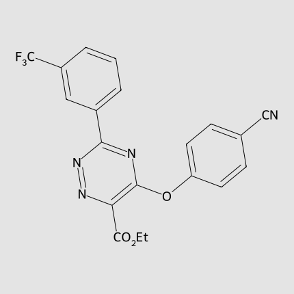 CCOC(=O)c1nnc(-c2cccc(C(F)(F)F)c2)nc1Oc1ccc(C#N)cc1